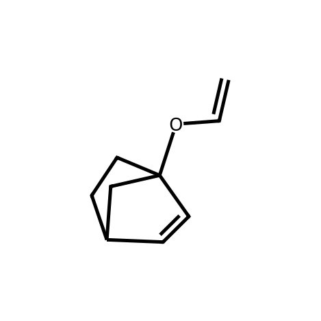 C=COC12C=CC(CC1)C2